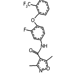 Cc1noc(C)c1C(=O)Nc1ccc(Oc2ccccc2C(F)(F)F)c(F)c1